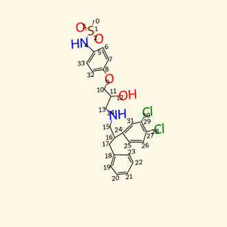 CS(=O)(=O)Nc1ccc(OCC(O)CNCC(Cc2ccccc2)c2ccc(Cl)c(Cl)c2)cc1